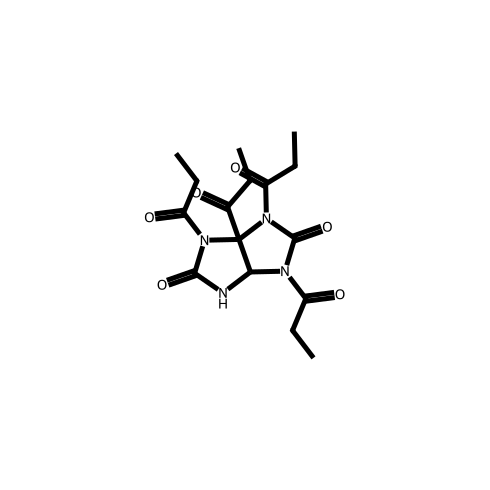 CCC(=O)N1C(=O)N(C(=O)CC)C2(C(=O)CC)C1NC(=O)N2C(=O)CC